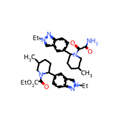 CCOC(=O)C(=O)N1CC(C)CCC1c1ccc2nn(CC)cc2c1.CCn1cc2cc(C3CCC(C)CN3C(=O)C(N)=O)ccc2n1